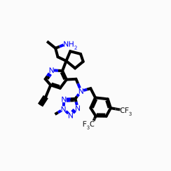 C#Cc1cnc(C2(CC(C)N)CCCC2)c(CN(Cc2cc(C(F)(F)F)cc(C(F)(F)F)c2)c2nnn(C)n2)c1